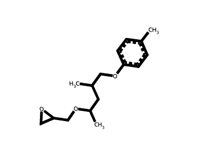 Cc1ccc(OCC(C)CC(C)OCC2CO2)cc1